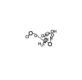 Cn1c(-c2ccccc2C#N)nc(C(=O)N2CC[C@H](C(=O)O)C2)c1CCCCOCc1cccc(Cl)c1